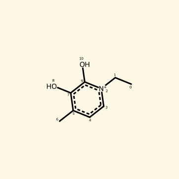 CC[n+]1ccc(C)c(O)c1O